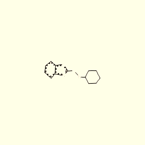 c1ccc2sc(S[N]C3CCCCC3)nc2c1